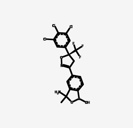 CC1(N)OB(O)c2ccc(C3=NO[C@@](c4cc(Cl)c(Cl)c(Cl)c4)(C(F)(F)F)C3)cc21